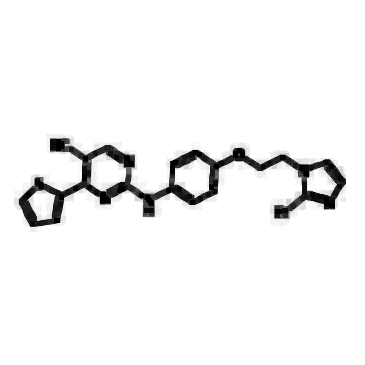 CCc1nccn1CCOc1ccc(Nc2ncc(C#N)c(-c3cccs3)n2)cc1